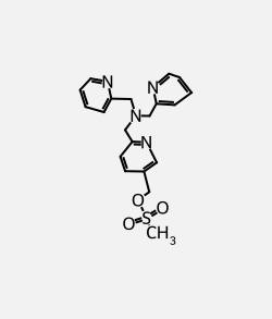 CS(=O)(=O)OCc1ccc(CN(Cc2ccccn2)Cc2ccccn2)nc1